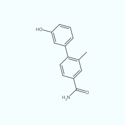 Cc1cc(C(N)=O)ccc1-c1cccc(O)c1